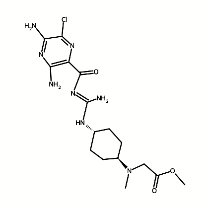 COC(=O)CN(C)[C@H]1CC[C@H](N/C(N)=N/C(=O)c2nc(Cl)c(N)nc2N)CC1